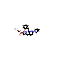 CCOC(=O)c1cc(Cc2ccc(N3CC4CC4C3)nc2/C=C/c2ccccc2)no1